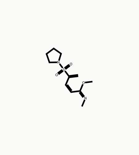 C=C(/C=C\C(=N/C)OC)S(=O)(=O)N1CCCC1